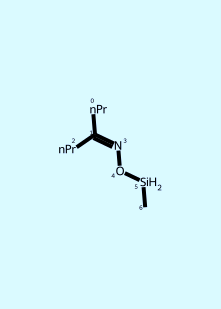 CCCC(CCC)=NO[SiH2]C